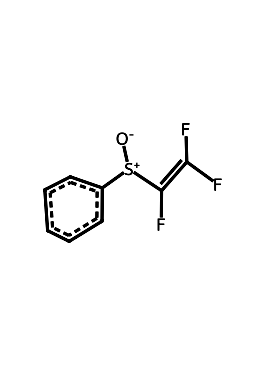 [O-][S+](C(F)=C(F)F)c1ccccc1